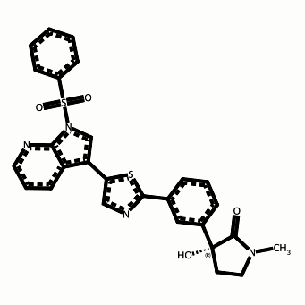 CN1CC[C@@](O)(c2cccc(-c3ncc(-c4cn(S(=O)(=O)c5ccccc5)c5ncccc45)s3)c2)C1=O